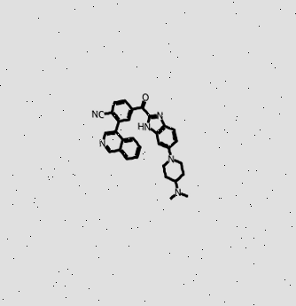 CN(C)C1CCN(c2ccc3nc(C(=O)c4ccc(C#N)c(-c5cncc6ccccc56)c4)[nH]c3c2)CC1